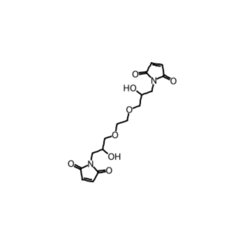 O=C1C=CC(=O)N1CC(O)COCCOCC(O)CN1C(=O)C=CC1=O